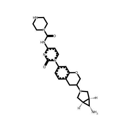 N[C@@H]1[C@H]2CN(C3COc4cc(-n5ccc(NC(=O)N6CCNCC6)nc5=O)ccc4C3)C[C@@H]12